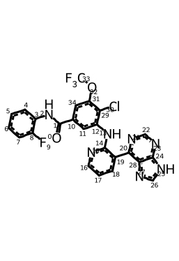 O=C(Nc1ccccc1F)c1cc(Nc2ncccc2-c2ncnc3[nH]cnc23)c(Cl)c(OC(F)(F)F)c1